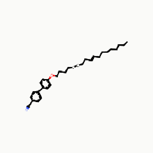 CCCCCCCCC=CCCCCCCCCOc1ccc(-c2ccc(C#N)cc2)cc1